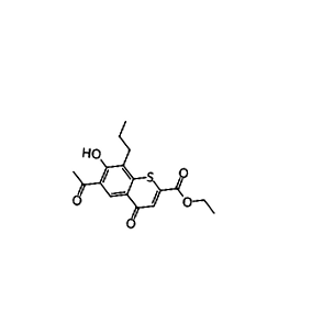 CCCc1c(O)c(C(C)=O)cc2c(=O)cc(C(=O)OCC)sc12